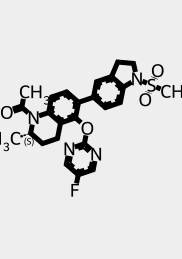 CC(=O)N1c2ccc(-c3ccc4c(c3)CCN4S(C)(=O)=O)c(Oc3ncc(F)cn3)c2CC[C@@H]1C